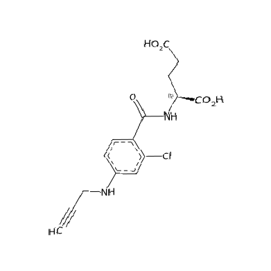 C#CCNc1ccc(C(=O)N[C@@H](CCC(=O)O)C(=O)O)c(Cl)c1